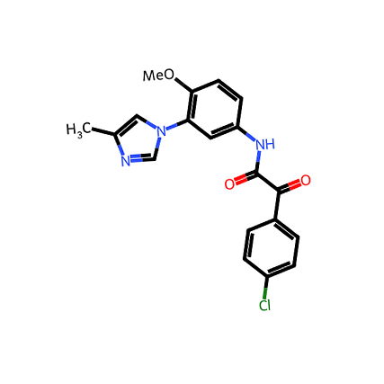 COc1ccc(NC(=O)C(=O)c2ccc(Cl)cc2)cc1-n1cnc(C)c1